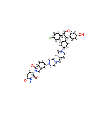 O=C1CC[C@H](N2Cc3cc(N4CCN(CC5CCN(c6ccc([C@@H]7c8ccc(O)cc8OC[C@@H]7c7ccc(F)cc7)cc6)CC5)CC4)ccc3C2=O)C(=O)N1